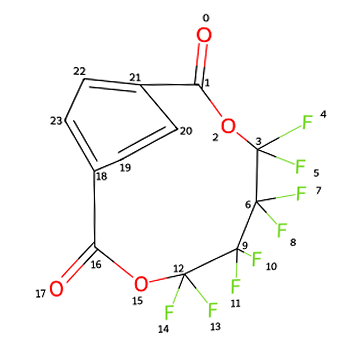 O=C1OC(F)(F)C(F)(F)C(F)(F)C(F)(F)OC(=O)c2ccc1cc2